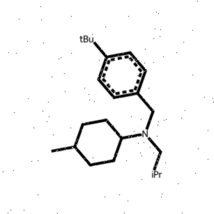 CC(C)CN(Cc1ccc(C(C)(C)C)cc1)C1CCC(C)CC1